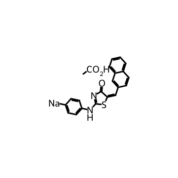 CC(=O)O.O=C1N=C(Nc2cc[c]([Na])cc2)SC1=Cc1ccc2ccccc2c1